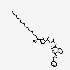 CCCCCCCCCCCCCC(O)C1=CCC(C(=O)OC(C)OC(=O)N2CCC[C@H]2C(=O)OCc2ccccc2)O1